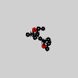 c1ccc(-c2ccc3c4ccccc4n(-c4ccc5c(c4)-c4c(-c6nc(-c7ccccc7)nc(-c7ccccc7)n6)cccc4[SH]5c4ccc(-c5nc(-c6ccccc6)nc(-c6cccc7sc8ccc(-n9c%10ccccc%10c%10ccccc%109)cc8c67)n5)cc4)c3c2)cc1